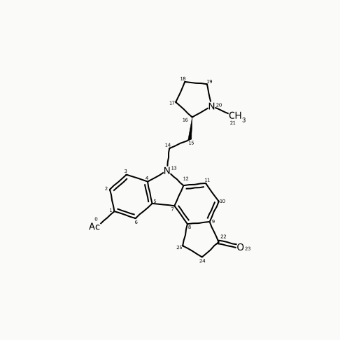 CC(=O)c1ccc2c(c1)c1c3c(ccc1n2CC[C@H]1CCCN1C)C(=O)CC3